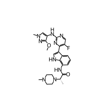 COc1nn(C)cc1Nc1ncc(F)c(-c2c[nH]c3c(NC(=O)[C@H](C)N4CCN(C)CC4)cccc23)n1